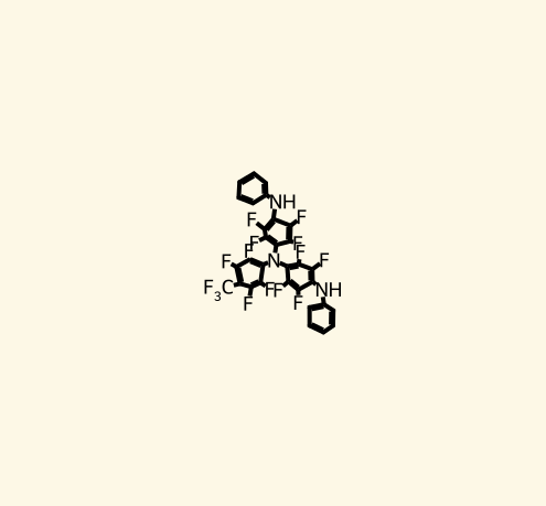 Fc1c(F)c(N(c2c(F)c(F)c(Nc3ccccc3)c(F)c2F)c2c(F)c(F)c(C(F)(F)F)c(F)c2F)c(F)c(F)c1Nc1ccccc1